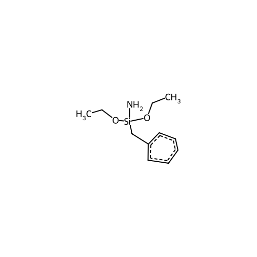 CCO[Si](N)(Cc1ccccc1)OCC